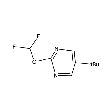 CC(C)(C)c1cnc(OC(F)F)nc1